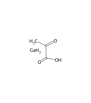 CC(=O)C(=O)O.[GaH3]